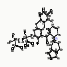 Cc1c(Cc2ccc(F)c(C(=O)C3=NC=CC/C3=[N+]3\CCn4cnnc4C3)c2)n[nH]c(=O)c1C.O=C(O)C(F)(F)F.O=C([O-])C(F)(F)F